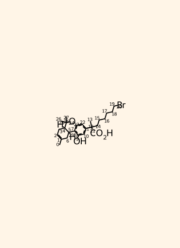 CC1=CC[C@H]2[C@@H](C1)c1c(O)cc(C(C)(CCCCCCBr)C(=O)O)cc1OC2(C)C